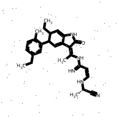 CCc1ccc(C)c(C2C=C3C(=CC2CC)NC(=O)/C3=C(/C)NC(=N)/C=C\N[C@@H](C)C#N)c1